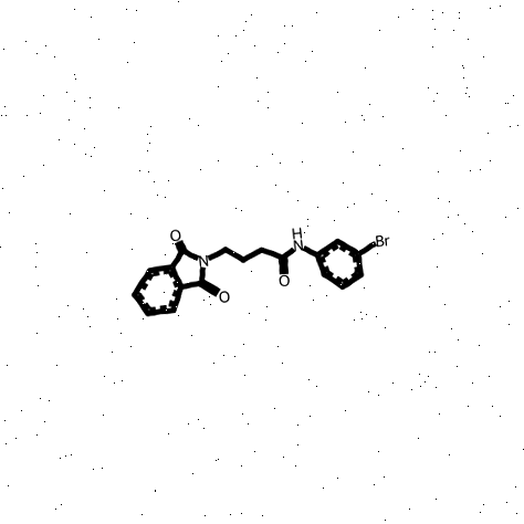 O=C(CCCN1C(=O)c2ccccc2C1=O)Nc1cccc(Br)c1